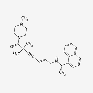 C[C@@H](NC/C=C/C#CC(C)(C)C(=O)N1CCN(C)CC1)c1cccc2ccccc12